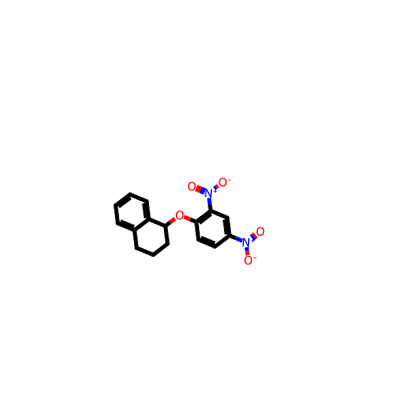 O=[N+]([O-])c1ccc(OC2CCCc3ccccc32)c([N+](=O)[O-])c1